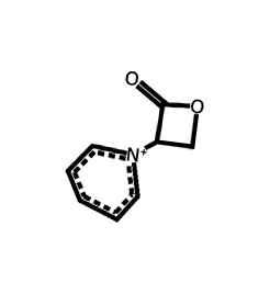 O=C1OCC1[n+]1ccccc1